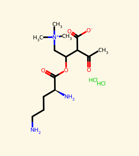 CC(=O)C(C(=O)[O-])C(C[N+](C)(C)C)OC(=O)[C@@H](N)CCCN.Cl.Cl